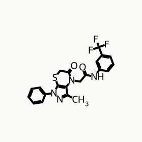 Cc1nn(-c2ccccc2)c2c1N(CC(=O)Nc1cccc(C(F)(F)F)c1)C(=O)CS2